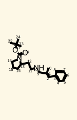 C/C(=C\c1ccccc1)CNCCC1CCCN1C(=O)OC(C)(C)C